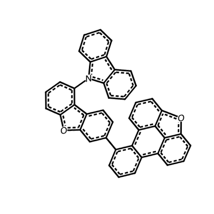 c1cc(-n2c3ccccc3c3ccccc32)c2c(c1)oc1cc(-c3cccc4c5cccc6oc7cccc(c34)c7c65)ccc12